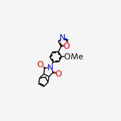 COc1cc(N2C(=O)C3C4C=CC(C4)C3C2=O)ccc1-c1cnco1